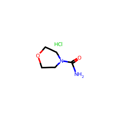 Cl.NC(=O)N1CCOCC1